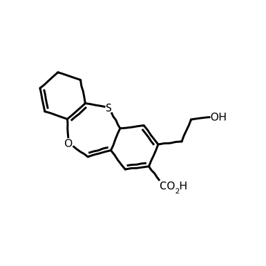 O=C(O)C1=CC2=COC3=C(CCC=C3)SC2C=C1CCO